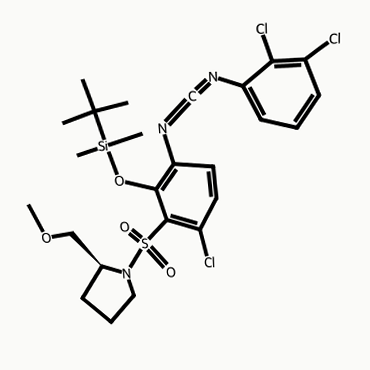 COC[C@@H]1CCCN1S(=O)(=O)c1c(Cl)ccc(N=C=Nc2cccc(Cl)c2Cl)c1O[Si](C)(C)C(C)(C)C